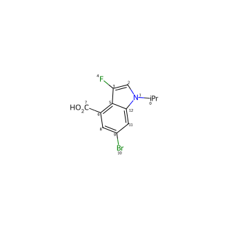 CC(C)n1cc(F)c2c(C(=O)O)cc(Br)cc21